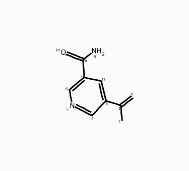 C=C(C)c1cncc(C(N)=O)c1